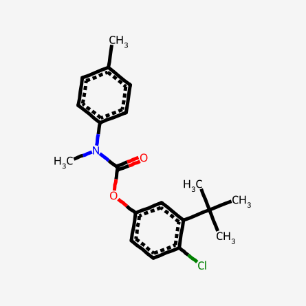 Cc1ccc(N(C)C(=O)Oc2ccc(Cl)c(C(C)(C)C)c2)cc1